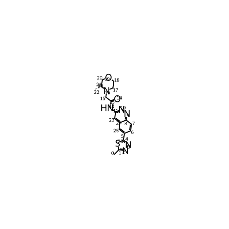 Cc1nnc(-c2ccc3nnc(NC(=O)CN4CCOC[C@H]4C)cc3c2)s1